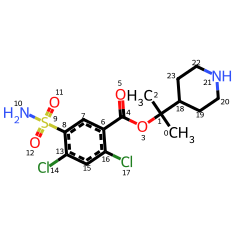 CC(C)(OC(=O)c1cc(S(N)(=O)=O)c(Cl)cc1Cl)C1CCNCC1